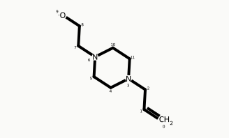 C=CCN1CCN(CC[O])CC1